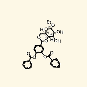 CCO[C@H]1O[C@@H]2COC(c3ccc(OC(=O)c4ccccc4)c(OC(=O)c4ccccc4)c3)O[C@H]2[C@H](O)[C@H]1O